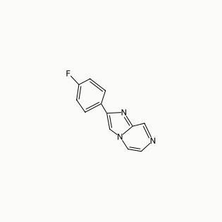 Fc1ccc(-c2cn3ccncc3n2)cc1